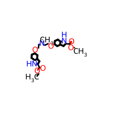 CCOC(=O)c1cc2cc(OCCN(C)CCOc3ccc4[nH]c(C(=O)OCC)cc4c3)ccc2[nH]1